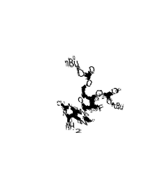 CCCCOC(=O)OCC1OC(n2cnc3c(N)nc(Cl)nc32)C(F)C1OC(=O)OC(C)(C)C